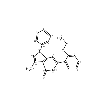 CCOc1ccccc1-c1nc2c(c(C)nn2-c2ccccc2)c(=O)[nH]1